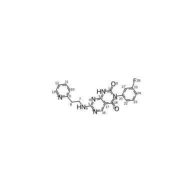 O=c1[nH]c2nc(NCCc3ccccn3)ncc2c(=O)n1-c1cccc(F)c1